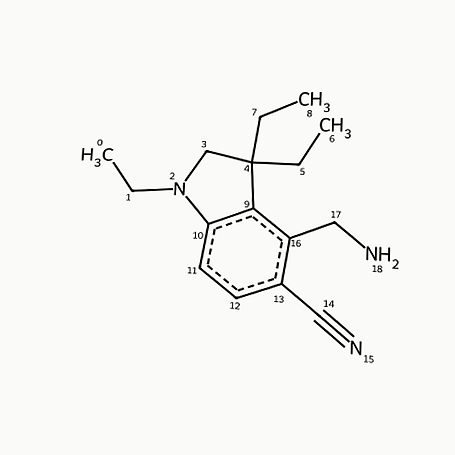 CCN1CC(CC)(CC)c2c1ccc(C#N)c2CN